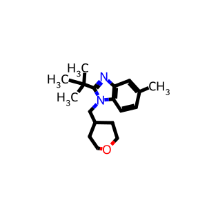 Cc1ccc2c(c1)nc(C(C)(C)C)n2CC1CCOCC1